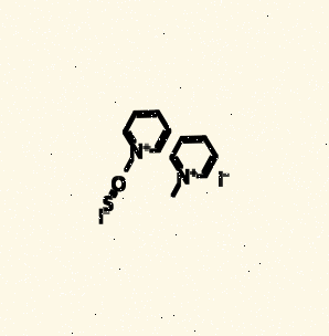 C[n+]1ccccc1.C[n+]1ccccc1.O=S.[I-].[I-]